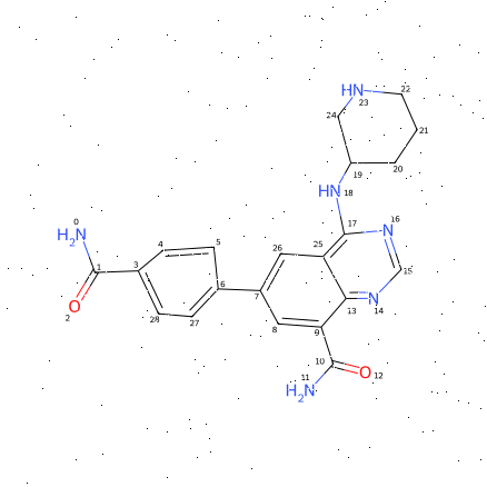 NC(=O)c1ccc(-c2cc(C(N)=O)c3ncnc(NC4CCCNC4)c3c2)cc1